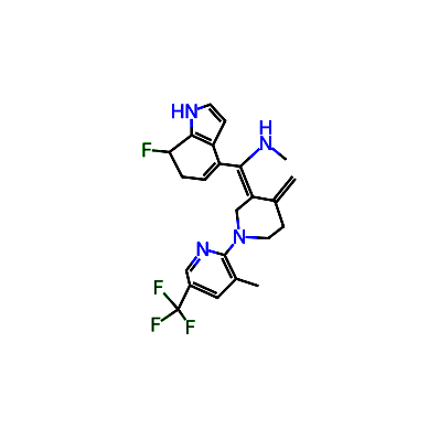 C=C1CCN(c2ncc(C(F)(F)F)cc2C)C/C1=C(/NC)C1=CCC(F)c2[nH]ccc21